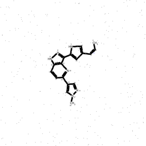 C/C=C\c1c[nH]c(-c2n[nH]c3ccc(-c4cnn(C)c4)nc23)c1